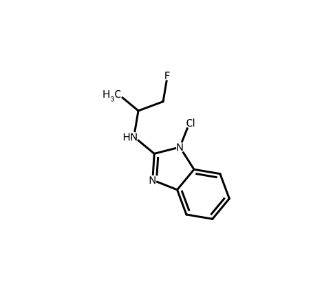 CC(CF)Nc1nc2ccccc2n1Cl